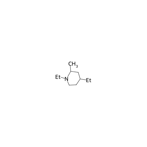 CCC1CCN(CC)C(C)C1